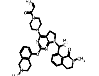 C=CC(=O)N1CCN(c2nc(Oc3cccc4c3CCN(C)C4)nc3c2CCN3C(C)c2cccc3c2C(=O)N(C)CC3)CC1